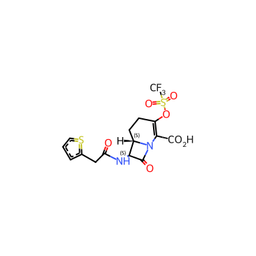 O=C(Cc1cccs1)N[C@@H]1C(=O)N2C(C(=O)O)=C(OS(=O)(=O)C(F)(F)F)CC[C@@H]12